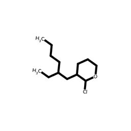 CCCCC(CC)CC1CCCOC1Cl